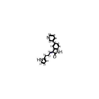 O=C1Nc2ccc(-c3cccnc3)cc2/C1=C/CCc1ccc[nH]1